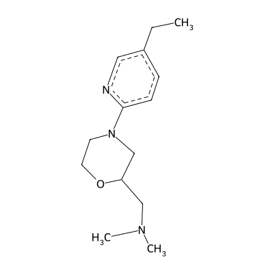 CCc1ccc(N2CCOC(CN(C)C)C2)nc1